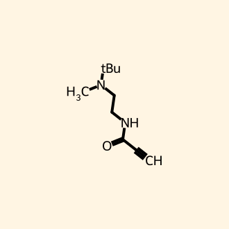 C#CC(=O)NCCN(C)C(C)(C)C